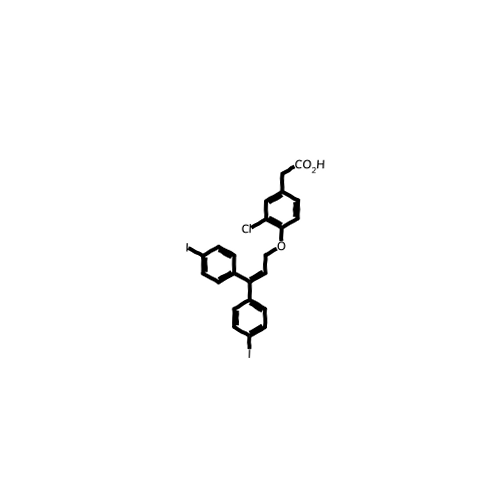 O=C(O)Cc1ccc(OCC=C(c2ccc(I)cc2)c2ccc(I)cc2)c(Cl)c1